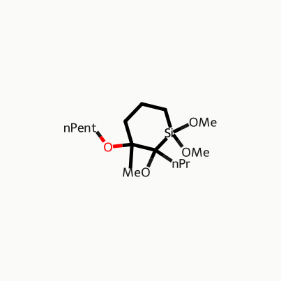 CCCCCOC1(C)CCC[Si](OC)(OC)C1(CCC)OC